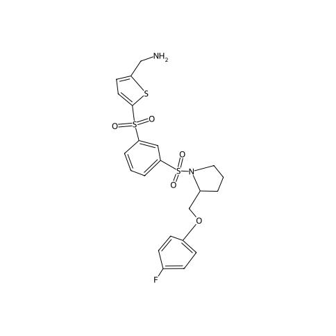 NCc1ccc(S(=O)(=O)c2cccc(S(=O)(=O)N3CCCC3COc3ccc(F)cc3)c2)s1